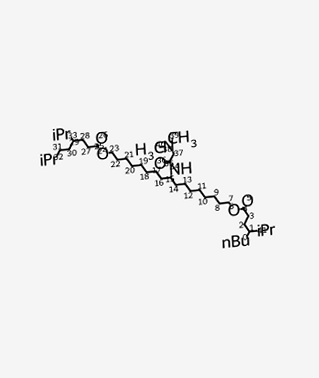 CCCCC(CCC(=O)OCCCCCCCCC(CCCCCCCCOC(=O)CCC(CCC(C)C)C(C)C)NC(=O)CN(C)C)C(C)C